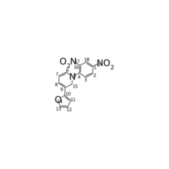 O=[N+]([O-])c1ccc(N2C=CC=C(c3ccco3)C2)c([N+](=O)[O-])c1